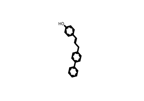 Oc1ccc(/C=C/Cc2ccc(-c3ccccc3)cc2)cc1